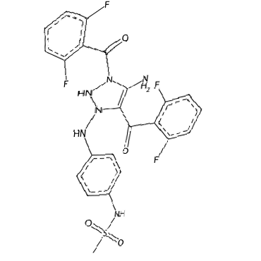 CS(=O)(=O)Nc1ccc(NN2NN(C(=O)c3c(F)cccc3F)C(N)=C2C(=O)c2c(F)cccc2F)cc1